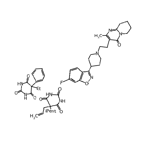 C=CCC1(C(C)CCC)C(=O)NC(=O)NC1=O.CCC1(c2ccccc2)C(=O)NC(=O)NC1=O.Cc1nc2n(c(=O)c1CCN1CCC(c3noc4cc(F)ccc34)CC1)CCCC2